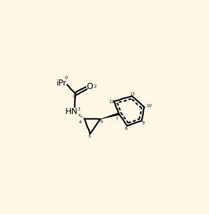 CC(C)C(=O)N[C@H]1C[C@@H]1c1ccccc1